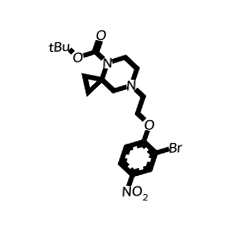 CC(C)(C)OC(=O)N1CCN(CCOc2ccc([N+](=O)[O-])cc2Br)CC12CC2